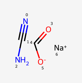 N#CN.O=C[O-].[Na+]